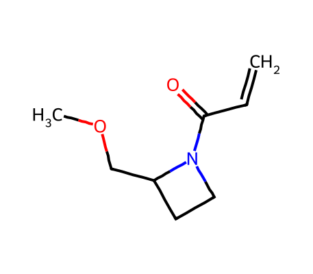 C=CC(=O)N1CCC1COC